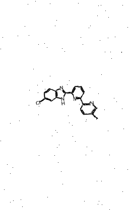 Cc1ccc(-c2cccc(-c3nc4ccc(Cl)cc4[nH]3)n2)nc1